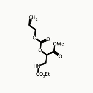 C=CCOC(=O)O[C@H](CNC(=O)OCC)C(=O)OC